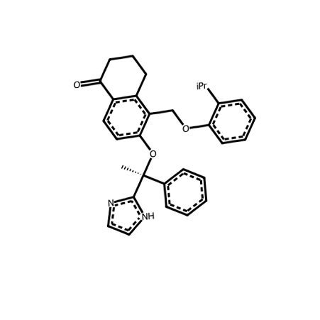 CC(C)c1ccccc1OCc1c(O[C@@](C)(c2ccccc2)c2ncc[nH]2)ccc2c1CCCC2=O